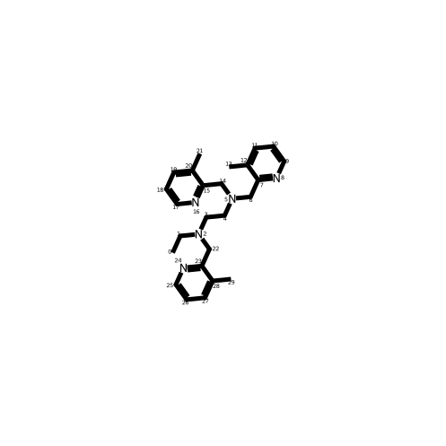 CCN(CCN(Cc1ncccc1C)Cc1ncccc1C)Cc1ncccc1C